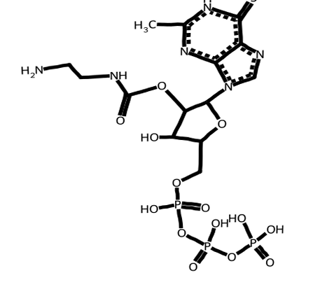 Cc1nc2c(ncn2C2OC(COP(=O)(O)OP(=O)(O)OP(=O)(O)O)C(O)C2OC(=O)NCCN)c(=S)[nH]1